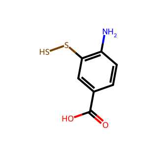 Nc1ccc(C(=O)O)cc1SS